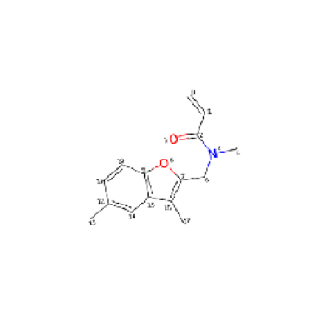 C=CC(=O)N(C)Cc1oc2ccc(C)cc2c1C